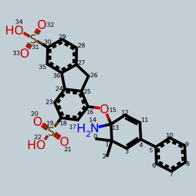 CC1(C)C=C(c2ccccc2)C=CC1(N)Oc1cc(S(=O)(=O)O)cc2c1Cc1ccc(S(=O)(=O)O)cc1-2